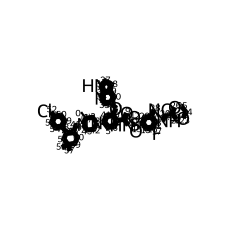 C[C@H]1CN(c2ccc(C(=O)NS(=O)(=O)c3cc(F)c(NC[C@@H]4COCCO4)c([N+](=O)[O-])c3)c(Oc3cnc4[nH]ccc4c3)c2)CCN1CC1=C(c2ccc(Cl)cc2)CC(C)(C)CC1